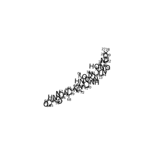 C=CC(=O)Nc1cc(Nc2nc(-c3ccnc(N4CCn5c(cc6c5CC(C)(C)C6)C4=O)c3CO)cn(C)c2=O)ccc1N1CCN(C2CCN(c3cnc4c(c3)OC[C@@H](C3CCOCC3)N4)[C@H](C)C2)C[C@@H]1C